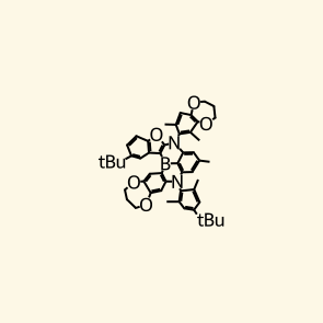 Cc1cc2c3c(c1)N(c1c(C)cc4c(c1C)OCCCO4)c1oc4ccc(C(C)(C)C)cc4c1B3c1cc3c(cc1N2c1c(C)cc(C(C)(C)C)cc1C)OCCCO3